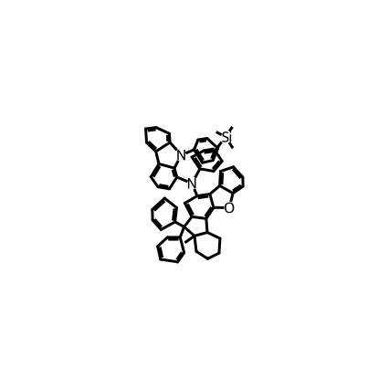 CC12CCCCC1c1c(cc(N(c3ccc([Si](C)(C)C)cc3)c3cccc4c5ccccc5n(-c5ccccc5)c34)c3c1oc1ccccc13)C2(c1ccccc1)c1ccccc1